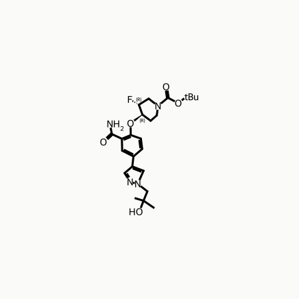 CC(C)(O)Cn1cc(-c2ccc(O[C@@H]3CCN(C(=O)OC(C)(C)C)C[C@H]3F)c(C(N)=O)c2)cn1